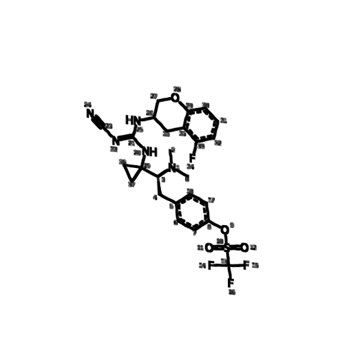 CN(C)[C@@H](Cc1ccc(OS(=O)(=O)C(F)(F)F)cc1)C1(N/C(=N/C#N)NC2COc3cccc(F)c3C2)CC1